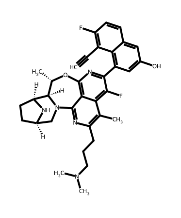 C#Cc1c(F)ccc2cc(O)cc(-c3nc4c5c(nc(CCCN(C)C)c(C)c5c3F)N3C[C@H]5CC[C@H](N5)[C@H]3[C@H](C)O4)c12